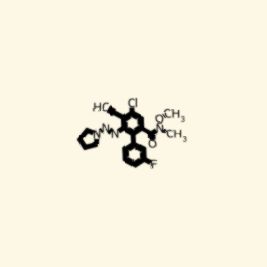 C#Cc1c(Cl)cc(C(=O)N(C)OC)c(-c2cccc(F)c2)c1/N=N/N1CCCC1